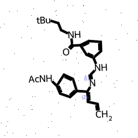 C=C/C=C(\N=C\Nc1cccc(C(=O)NCCC(C)(C)C)c1)c1ccc(NC(C)=O)cc1